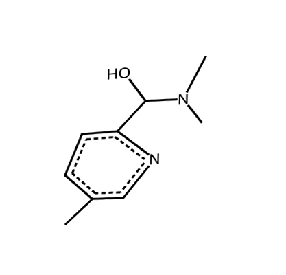 Cc1ccc(C(O)N(C)C)nc1